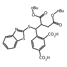 CCCCOC(=O)CC(C(=O)OCCCC)C(Sc1nc2ccccc2s1)c1ccc(C(=O)O)cc1C(=O)O